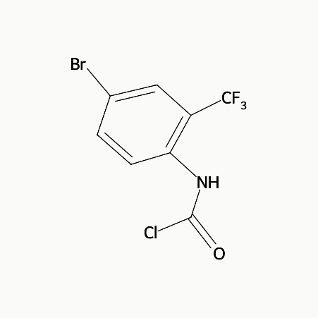 O=C(Cl)Nc1ccc(Br)cc1C(F)(F)F